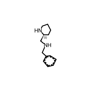 c1ccc(CNC[C@@H]2CCCCN2)cc1